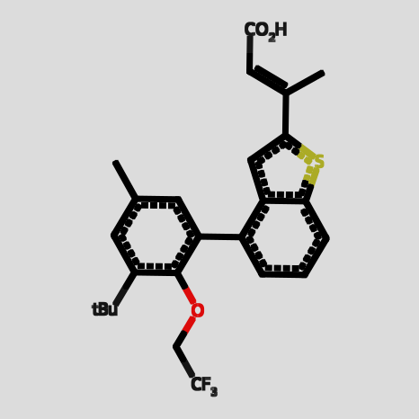 CC(=CC(=O)O)c1cc2c(-c3cc(C)cc(C(C)(C)C)c3OCC(F)(F)F)cccc2s1